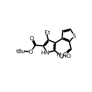 C=Cc1sccc1-c1c(C=O)[nH]c(C(=O)OC(C)(C)C)c1CC